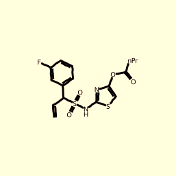 C=CC(c1cccc(F)c1)S(=O)(=O)Nc1nc(OC(=O)CCC)cs1